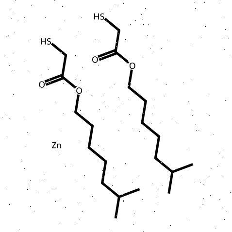 CC(C)CCCCCOC(=O)CS.CC(C)CCCCCOC(=O)CS.[Zn]